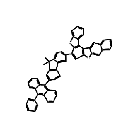 CC1(C)c2ccc(-c3cc4oc5cc6ccccc6cc5c4c4c3oc3ccccc34)cc2-c2ccc(-c3c4ccccc4c(-c4ccccc4)c4ccccc34)cc21